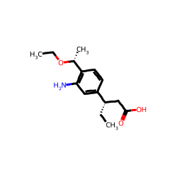 CCO[C@H](C)c1ccc([C@@H](CC)CC(=O)O)cc1N